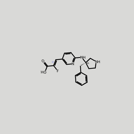 O=C(O)/C(F)=C/c1ccc(N[C@]2(Cc3ccccc3)CCNC2)nc1